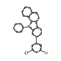 Clc1cc(Cl)cc(-c2ccc3c4ccc5ccccc5c4n(-c4ccccc4)c3c2)c1